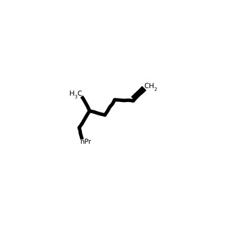 C=CCCC(C)CCCC